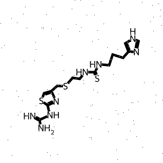 N=C(N)Nc1nc(CSCCNC(=S)NCCCc2c[nH]cn2)cs1